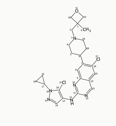 CC1(CN2CCC(c3cc4nc(Nc5cnn(C6CC6)c5Cl)ncc4cc3Cl)CC2)COC1